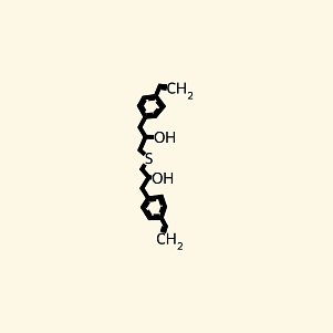 C=Cc1ccc(CC(O)CSCC(O)Cc2ccc(C=C)cc2)cc1